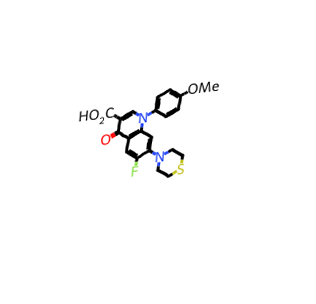 COc1ccc(-n2cc(C(=O)O)c(=O)c3cc(F)c(N4CCSCC4)cc32)cc1